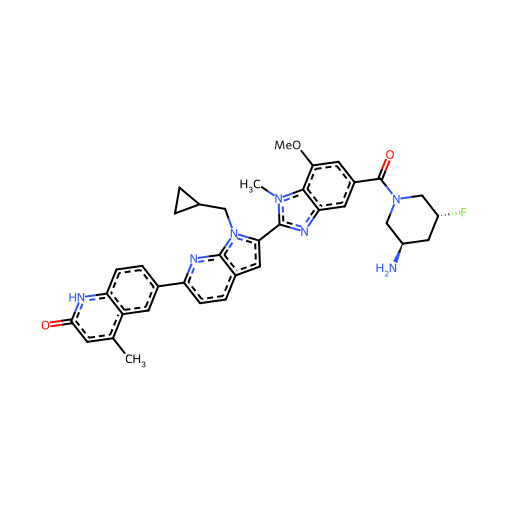 COc1cc(C(=O)N2C[C@H](N)C[C@@H](F)C2)cc2nc(-c3cc4ccc(-c5ccc6[nH]c(=O)cc(C)c6c5)nc4n3CC3CC3)n(C)c12